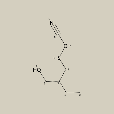 CCC(CO)CSOC#N